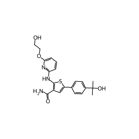 CC(C)(O)c1ccc(-c2cc(C(N)=O)c(Nc3cccc(OCCO)n3)s2)cc1